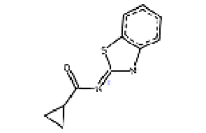 O=C(/N=C1/[N]c2ccccc2S1)C1CC1